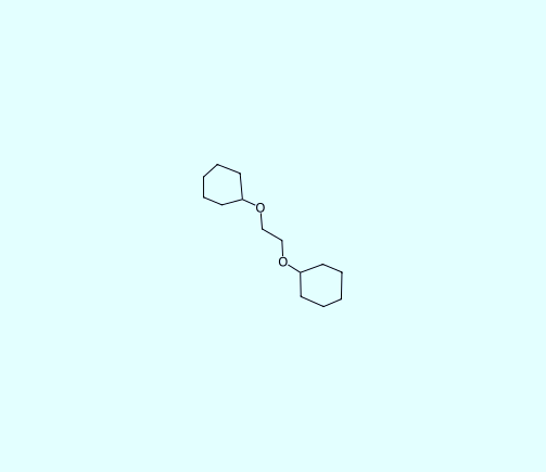 C1CCC(OCCOC2CCCCC2)CC1